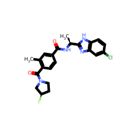 Cc1cc(C(=O)N[C@@H](C)c2nc3cc(Cl)ccc3[nH]2)ccc1C(=O)N1CC[C@@H](F)C1